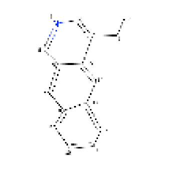 CCc1cncc2cc3ccccc3cc12